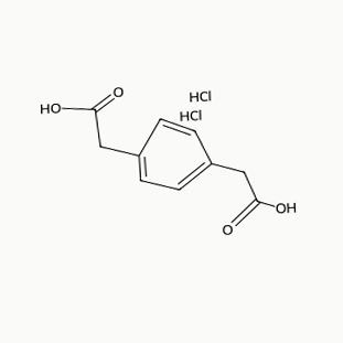 Cl.Cl.O=C(O)Cc1ccc(CC(=O)O)cc1